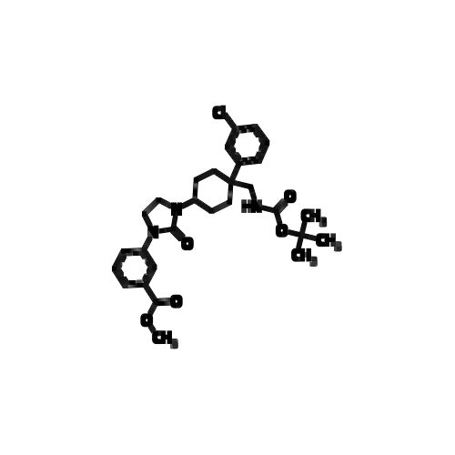 COC(=O)c1cccc(N2CCN(C3CCC(CNC(=O)OC(C)(C)C)(c4cccc(Cl)c4)CC3)C2=O)c1